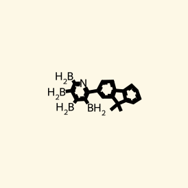 Bc1nc(-c2ccc3c(c2)C(C)(C)c2ccccc2-3)c(B)c(B)c1B